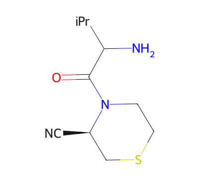 CC(C)C(N)C(=O)N1CCSC[C@H]1C#N